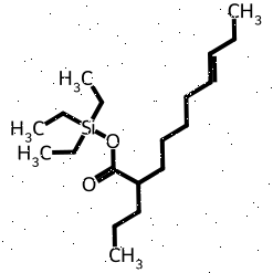 CCC=CCCCCC(CCC)C(=O)O[Si](CC)(CC)CC